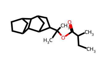 CCC(C)C(=O)OC(C)(C)C1CC2CC1C1C3CCC(C3)C21